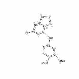 COc1ccc(Nc2nc(Cl)nc3scnc23)cc1OC